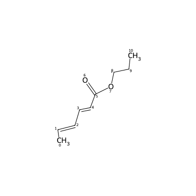 C/C=C/C=C/C(=O)O[CH]CC